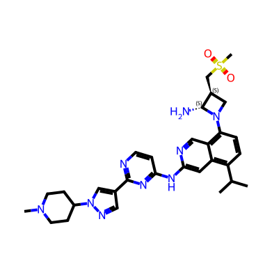 CC(C)c1ccc(N2C[C@H](CS(C)(=O)=O)[C@H]2N)c2cnc(Nc3ccnc(-c4cnn(C5CCN(C)CC5)c4)n3)cc12